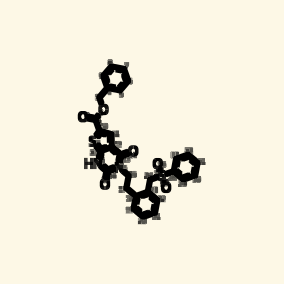 O=C(OCc1ccccc1)c1cc2c(=O)n(CCc3ccccc3CS(=O)(=O)c3ccccc3)c(=O)[nH]c2s1